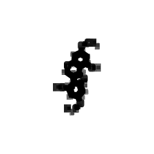 COc1cc(O)c2c(c1)OCc1c-2oc2cc(OC)cc(O)c12